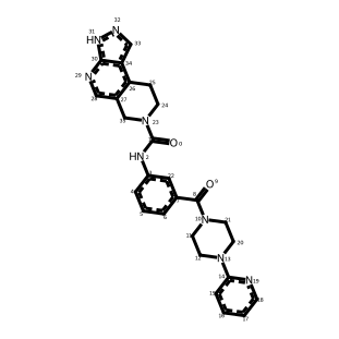 O=C(Nc1cccc(C(=O)N2CCN(c3ccccn3)CC2)c1)N1CCc2c(cnc3[nH]ncc23)C1